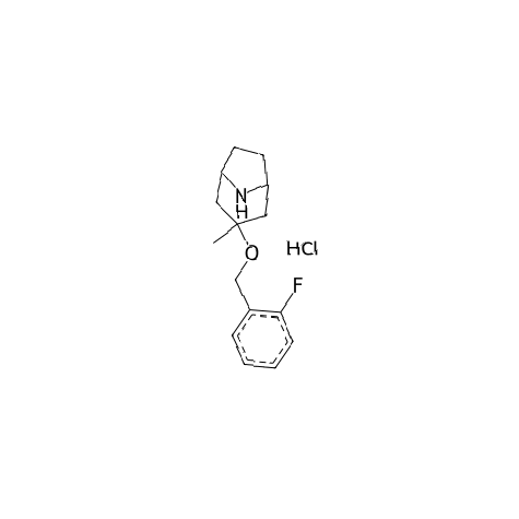 CC1(OCc2ccccc2F)CC2CCC(C1)N2.Cl